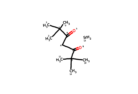 CC(C)(C)C(=O)CC(=O)C(C)(C)C.[SrH2]